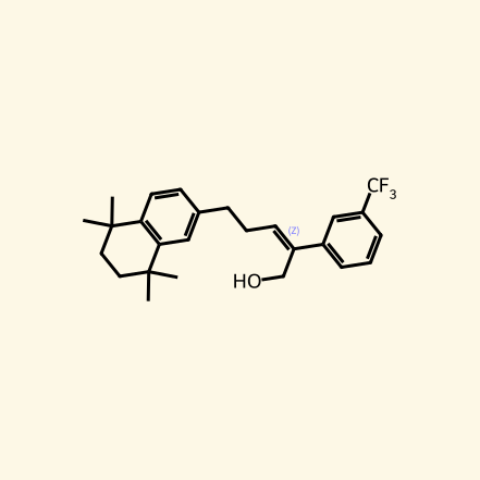 CC1(C)CCC(C)(C)c2cc(CC/C=C(\CO)c3cccc(C(F)(F)F)c3)ccc21